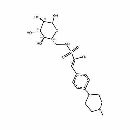 CN1CCN(c2ccc(/C=C(\C#N)S(=O)(=O)NC[C@H]3OC(O)[C@H](O)[C@@H](O)[C@@H]3O)cc2)CC1